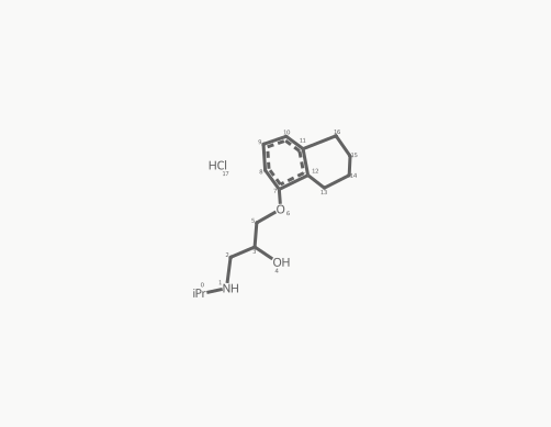 CC(C)NCC(O)COc1cccc2c1CCCC2.Cl